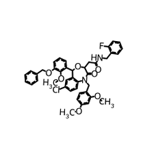 COc1ccc(CN2C(=O)C(CC(=O)NCc3ccccc3F)OC(c3cccc(OCc4ccccc4)c3OC)c3cc(Cl)ccc32)c(OC)c1